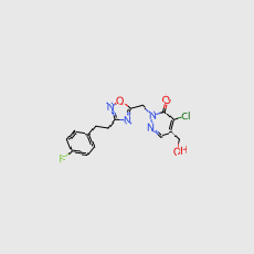 O=c1c(Cl)c(CO)cnn1Cc1nc(CCc2ccc(F)cc2)no1